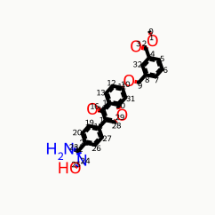 COC(=O)c1cccc(COc2ccc3c(=O)c(-c4ccc(C(N)=NO)cc4)coc3c2)c1